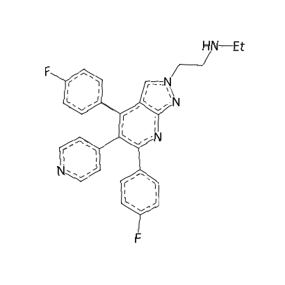 CCNCCn1cc2c(-c3ccc(F)cc3)c(-c3ccncc3)c(-c3ccc(F)cc3)nc2n1